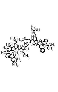 C=CCSCC(NC(=O)C(NC(=O)CNC(=O)C(CCSC)NC(=O)C(CCCNC(=N)N)NC(=O)C(Cc1ccccc1)NC(=O)C1CCCN1C(=O)C(C)N)C(C)CC)C(=O)NC(C(=O)NC(C(=O)NC(CC(N)=O)C(N)=O)C(C)O)C(C)O